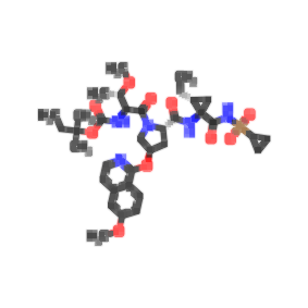 C=C[C@@H]1C[C@]1(NC(=O)[C@@H]1C[C@@H](Oc2nccc3cc(OC)ccc23)CN1C(=O)[C@@H](NC(=O)OC(C)(C)CC)[C@H](C)OC)C(=O)NS(=O)(=O)C1CC1